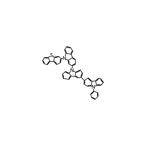 c1ccc(-n2c3ccccc3c3cc(-c4ccc5c(c4)c4ccccc4n5-c4ccc5c6ccccc6n(-c6ccc7c(c6)sc6ccccc67)c5c4)ccc32)cc1